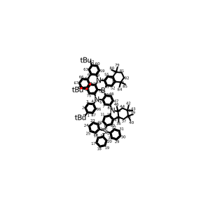 CC(C)(C)c1ccc(N2c3cc(N4c5ccc([Si](c6ccccc6)(c6ccccc6)c6ccccc6)cc5C5(C)CC(C)(C)C(C)(C)CC45C)ccc3B3c4cc5c(cc4N(c4ccc(C(C)(C)C)cc4-c4ccccc4)c4cc(C(C)(C)C)cc2c43)C(C)(C)CCC5(C)C)cc1